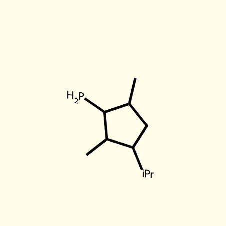 CC(C)C1CC(C)C(P)C1C